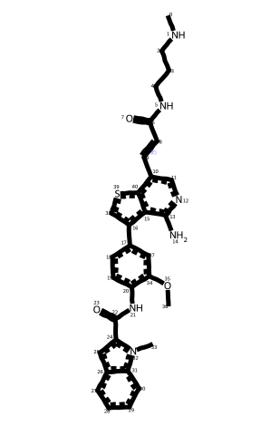 CNCCCNC(=O)/C=C/c1cnc(N)c2c(-c3ccc(NC(=O)c4cc5ccccc5n4C)c(OC)c3)csc12